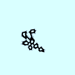 c1ccc(-c2ccc(-c3cc(-c4ccccc4)c(-c4ccccc4)c(-c4ccccc4)c3-c3ccccc3)cc2)cc1